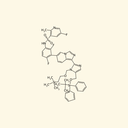 Cc1ncc(F)cc1S(=O)(=O)Nc1ccc(F)c(-c2ccc3c(-c4ncc(CO[Si](c5ccccc5)(c5ccccc5)C(C)(C)C)n4COCC[Si](C)(C)C)ncn3c2)c1F